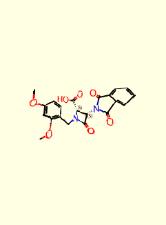 COc1ccc(CN2C(=O)[C@@H](N3C(=O)c4ccccc4C3=O)[C@H]2C(=O)O)c(OC)c1